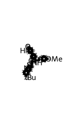 COC1CCN(CC[C@@H](NC(=O)c2cc3cc4c(nc3s2)CC[C@H](C(C)(C)C)C4)c2ccc(-c3ccc(=O)[nH]c3)cc2)CC1